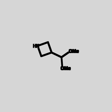 COC(OC)C1CNC1